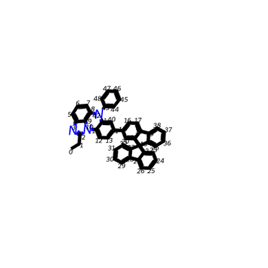 CCc1nc2cccc3c2n1-c1ccc(-c2ccc4c(c2)C2(c5ccccc5-c5ccccc52)c2ccccc2-4)cc1N3c1ccccc1